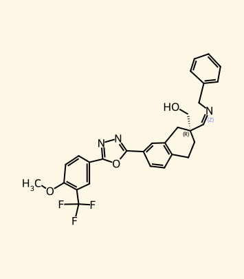 COc1ccc(-c2nnc(-c3ccc4c(c3)C[C@](/C=N\Cc3ccccc3)(CO)CC4)o2)cc1C(F)(F)F